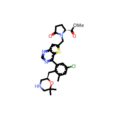 COC(=O)[C@H]1CCC(=O)N1Cc1cc2ncnc(-c3cc(Cl)cc(C)c3C[C@@H]3CNCC(C)(C)O3)c2s1